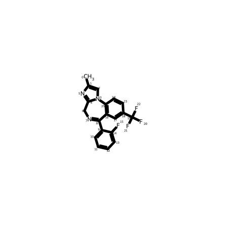 Cc1cn2c(n1)CN=C(c1ccccc1F)c1cc(C(F)(F)F)ccc1-2